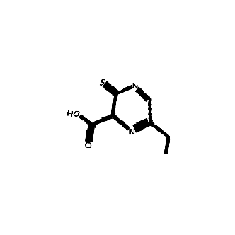 CCC1=NC(C(=O)O)C(=S)N=C1